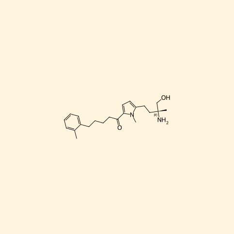 Cc1ccccc1CCCCC(=O)c1ccc(CC[C@@](C)(N)CO)n1C